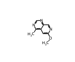 COc1cc2c(C)ncnc2cn1